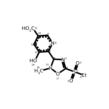 CCS(=O)(=O)C1=NC(c2ncc(C(=O)O)cc2O)N(C)O1